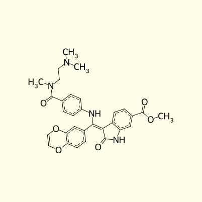 COC(=O)c1ccc2c(c1)NC(=O)C2=C(Nc1ccc(C(=O)N(C)CCN(C)C)cc1)c1ccc2c(c1)OC=CO2